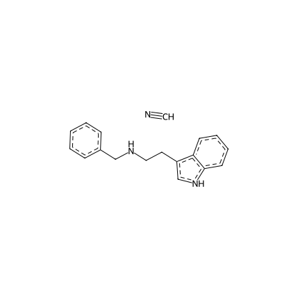 C#N.c1ccc(CNCCc2c[nH]c3ccccc23)cc1